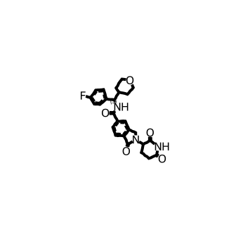 O=C1CCC(N2Cc3cc(C(=O)N[C@H](c4ccc(F)cc4)C4CCOCC4)ccc3C2=O)C(=O)N1